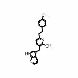 Cc1ccc(CCc2ccc(Cc3c[nH]c4ncccc34)c(C)n2)cc1